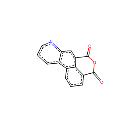 O=C1OC(=O)c2cc3ncccc3c3cccc1c23